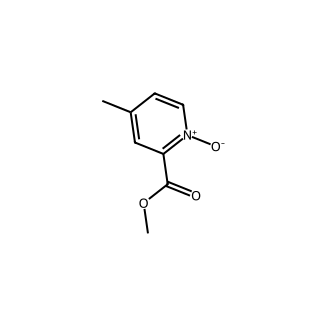 COC(=O)c1cc(C)cc[n+]1[O-]